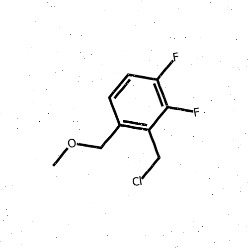 COCc1ccc(F)c(F)c1CCl